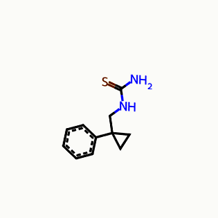 NC(=S)NCC1(c2ccccc2)CC1